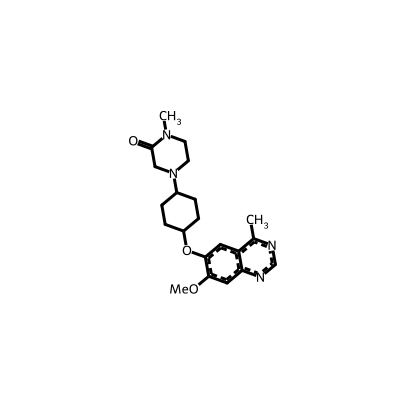 COc1cc2ncnc(C)c2cc1OC1CCC(N2CCN(C)C(=O)C2)CC1